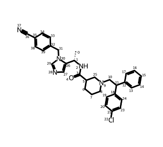 C[C@H](NC(=O)C1CCCN(CC(c2ccccc2)c2ccc(Cl)cc2)C1)c1cncn1Cc1ccc(C#N)cc1